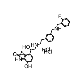 Cl.Cl.O=c1[nH]c2c(O)ccc(C(O)CNCCc3cccc(CNCc4ccccc4F)c3)c2s1